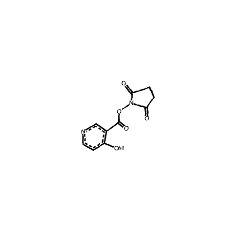 O=C(ON1C(=O)CCC1=O)c1cnccc1O